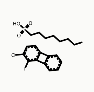 CCCCCCCCS(=O)(=O)O.Clc1ccc2c(c1I)-c1ccccc1-2